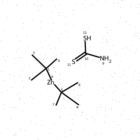 C[C](C)(C)[Zn][C](C)(C)C.NC(=S)S